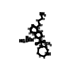 CC1CNCCCCN1S(=O)(=O)c1ccc2c(SCCN)nccc2c1.Cl.Cl.Cl